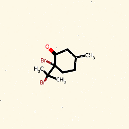 CC1CCC(Br)(C(C)(C)Br)C(=O)C1